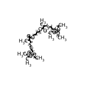 CCO[Si](CCCSCC(C)C(=O)OCCCCOC(=O)C(C)CSCCC[Si](OCC)(OCC)OCC)(OCC)OCC